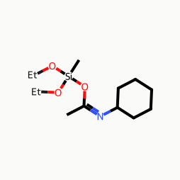 CCO[Si](C)(OCC)OC(C)=NC1CCCCC1